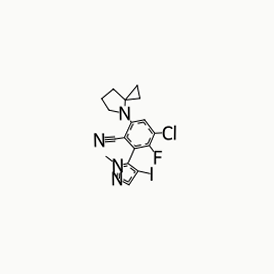 Cn1ncc(I)c1-c1c(F)c(Cl)cc(N2CCCC23CC3)c1C#N